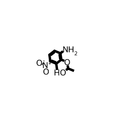 Cc1c([N+](=O)[O-])ccc(N)c1OC(C)O